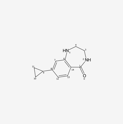 O=C1NCCNc2cc(C3CC3)ccc21